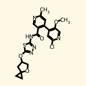 COc1cnc(Cl)cc1-c1cc(C)ncc1C(=O)Nc1nnc(OC2COC3(CC3)C2)s1